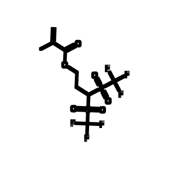 C=C(C)C(=O)OCCC(S(=O)(=O)C(F)(F)F)S(=O)(=O)C(F)(F)F